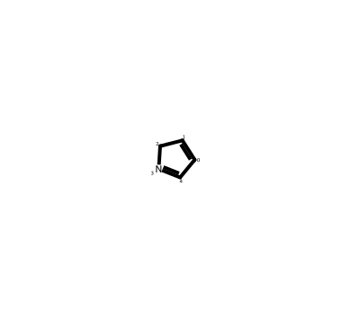 [C]1=CCN=C1